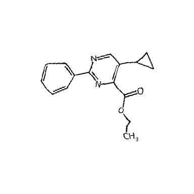 CCOC(=O)c1nc(-c2ccccc2)ncc1C1CC1